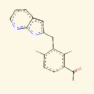 COC(=O)c1ccc(Cl)c(Cc2cc3cccnc3[nH]2)c1Cl